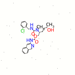 CC(O)CC[C@@H](COC(=O)Nc1cc2ccccc2cn1)N(C)C(=O)NCc1ccccc1Cl